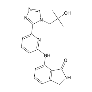 CC(C)(O)Cn1cnnc1-c1cccc(Nc2cccc3c2C(=O)NC3)n1